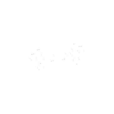 C1=CC(N(c2ccccc2)c2cccc3ccccc23)CC=C1C1C=CC(N(c2ccccc2)c2cccc3ccccc23)=CC1